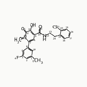 Cc1cc(F)cc(-c2cc(C(=O)NCCc3ccccc3Cl)c(O)c(=O)n2C)c1